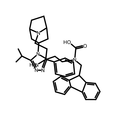 CC(C)c1nnc(CCN(CC2c3ccccc3-c3ccccc32)C(=O)O)n1C1CC2CCC(C1)N2CCC(N)c1ccccc1